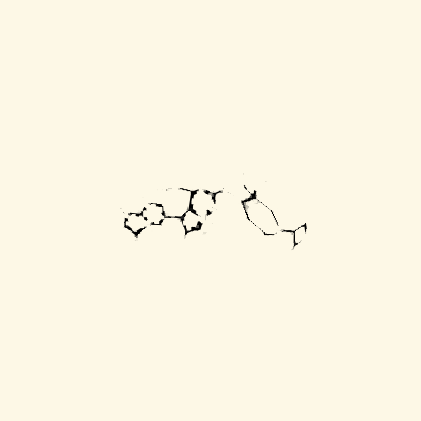 COc1nc(N[C@@H]2CCN(C3COC3)CC2(F)F)nn2ccc(-c3cnc4nccn4c3)c12